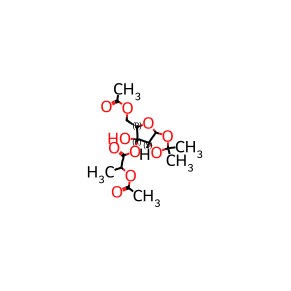 CC(=O)OC[C@H]1OC2OC(C)(C)O[C@@H]2[C@]1(O)OC(=O)C(C)OC(C)=O